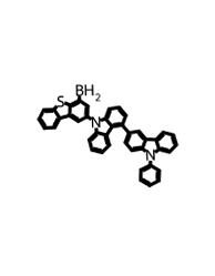 Bc1cc(-n2c3ccccc3c3c(-c4ccc5c(c4)c4ccccc4n5-c4ccccc4)cccc32)cc2c1sc1ccccc12